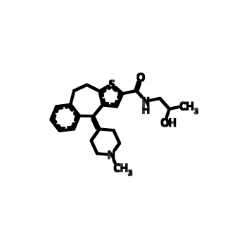 CC(O)CNC(=O)c1cc2c(s1)CCc1ccccc1C2=C1CCN(C)CC1